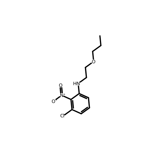 CCCOCCNc1cccc(Cl)c1[N+](=O)[O-]